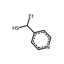 [CH2]CC(S)c1ccncc1